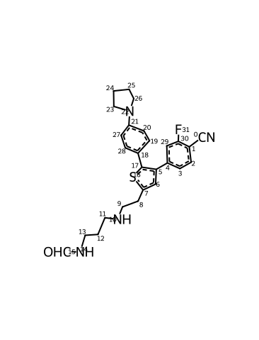 N#Cc1ccc(-c2cc(CCNCCCNC=O)sc2-c2ccc(N3CCCC3)cc2)cc1F